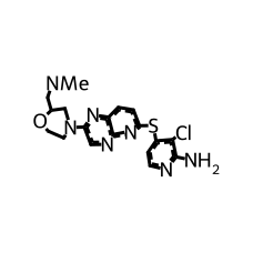 CNCC1CN(c2cnc3nc(Sc4ccnc(N)c4Cl)ccc3n2)CCO1